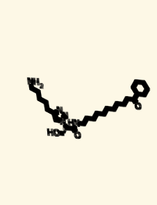 NCCCCCc1cn([C@@H](CO)C(=O)NCCCCCCCCCCC(=O)C2CCCCC2)nn1